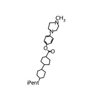 CCCC(C)C1CCC(C2CCC(C(=O)Oc3ccc(N4CCN(C)CC4)cc3)CC2)CC1